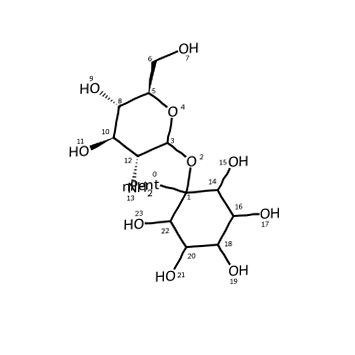 CCCCCC1(OC2O[C@H](CO)[C@@H](O)[C@H](O)[C@H]2N)C(O)C(O)C(O)C(O)C1O